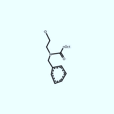 CCCCCCCCC(=O)N(CC[O])Cc1ccccc1